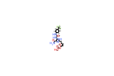 NC(=O)c1nc(Cc2ccc(OC(=O)O)o2)[nH]c1NC(=O)Nc1ccc(C(F)(F)F)cc1